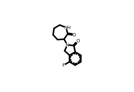 O=C1NCCCCC1N1Cc2c(F)cccc2C1=O